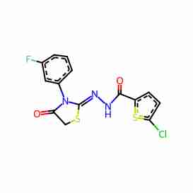 O=C(N/N=C1\SCC(=O)N1c1cccc(F)c1)c1ccc(Cl)s1